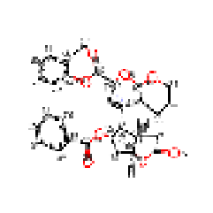 O=C1C[C@@H]2[C@@H](/C=C/[C@@H](OC3CCCCO3)C3OCc4ccccc4O3)[C@H](OC(=O)c3ccccc3)C[C@@H]2O1